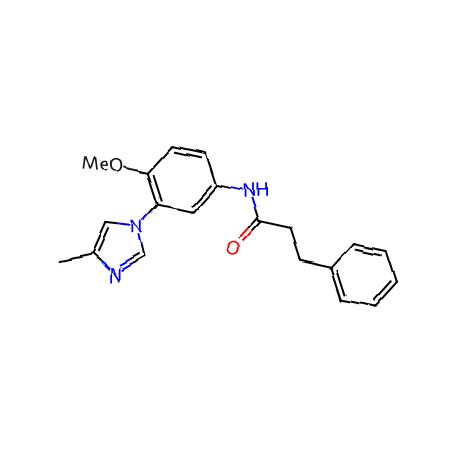 COc1ccc(NC(=O)CCc2ccccc2)cc1-n1cnc(C)c1